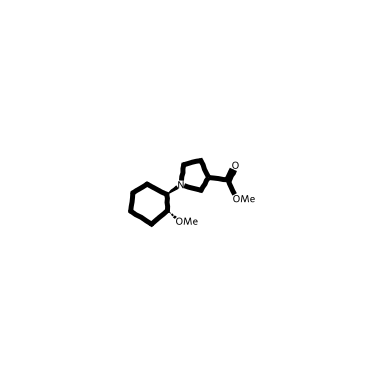 COC(=O)C1CCN([C@@H]2CCCC[C@H]2OC)C1